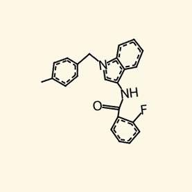 Cc1ccc(Cn2cc(NC(=O)c3ccccc3F)c3ccccc32)cc1